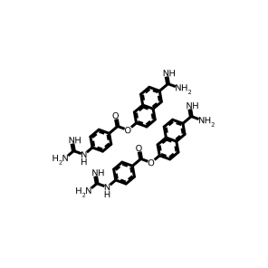 N=C(N)Nc1ccc(C(=O)Oc2ccc3cc(C(=N)N)ccc3c2)cc1.N=C(N)Nc1ccc(C(=O)Oc2ccc3cc(C(=N)N)ccc3c2)cc1